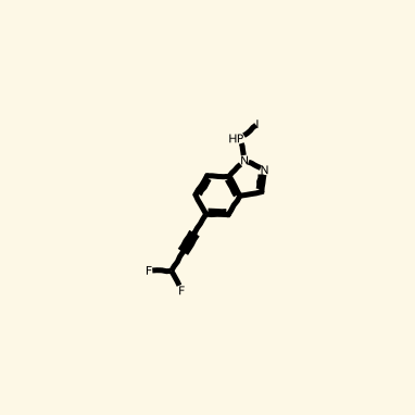 FC(F)C#Cc1ccc2c(cnn2PI)c1